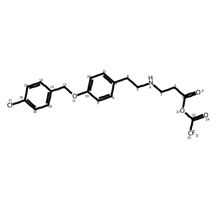 O=C(CCNCCc1ccc(OCc2ccc(Cl)cc2)cc1)OC(=O)C(F)(F)F